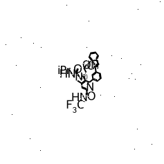 CC(C)NC(=O)N1Cc2cc(C(=O)NCC(F)(F)F)nc(-c3cccc(-c4cc5ccccc5o4)c3)c2[C@H]1CCO